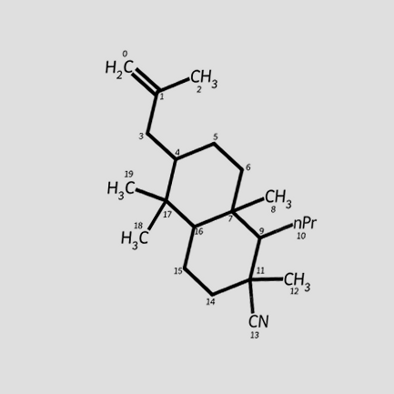 C=C(C)CC1CCC2(C)C(CCC)C(C)(C#N)CCC2C1(C)C